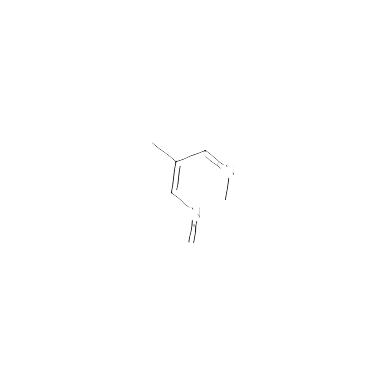 C=N/C=C(C)\C=N/C